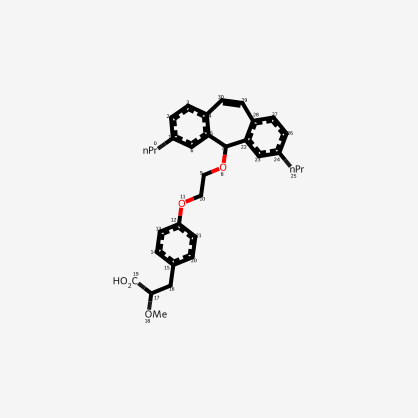 CCCc1ccc2c(c1)C(OCCOc1ccc(CC(OC)C(=O)O)cc1)c1cc(CCC)ccc1C=C2